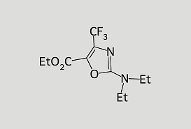 CCOC(=O)c1oc(N(CC)CC)nc1C(F)(F)F